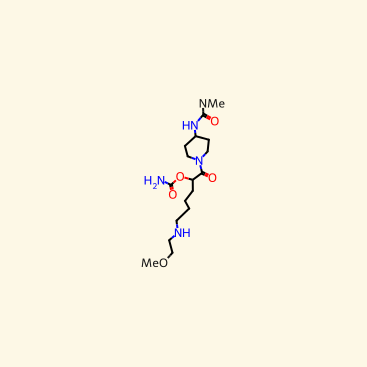 CNC(=O)NC1CCN(C(=O)C(CCCCNCCOC)OC(N)=O)CC1